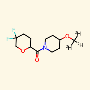 [2H]C([2H])([2H])OC1CCN(C(=O)C2CCC(F)(F)CO2)CC1